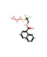 O=C(OCC(F)(F)SOOO)c1cccc2ccccc12